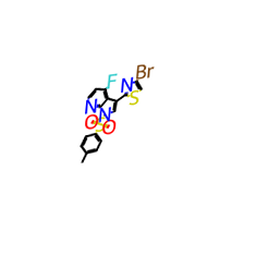 Cc1ccc(S(=O)(=O)n2cc(-c3nc(Br)cs3)c3c(F)ccnc32)cc1